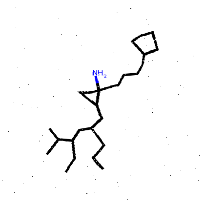 CCCC(CC(CC)C(C)C)CC1CC1(N)CCCC1CCC1